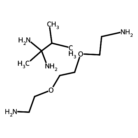 CC(C)C(C)(N)N.NCCOCCOCCN